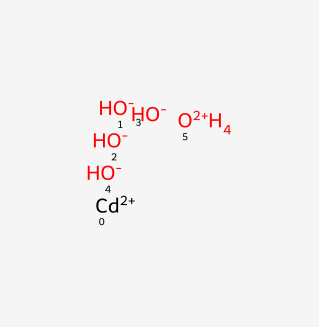 [Cd+2].[OH-].[OH-].[OH-].[OH-].[OH4+2]